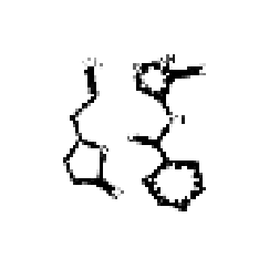 C=CCC1CCC(=O)O1.O=C(Nc1co[nH]c1=O)c1ccccc1